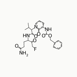 CC(C)C(C(=O)NC(CCC(N)=O)C(=O)CF)n1cccc(NC(=O)OCc2ccccc2)c1=O